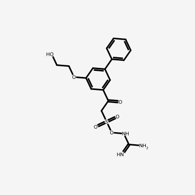 N=C(N)NOS(=O)(=O)CC(=O)c1cc(OCCO)cc(-c2ccccc2)c1